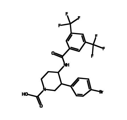 O=C(NC1CCN(C(=O)O)CC1c1ccc(Br)cc1)c1cc(C(F)(F)F)cc(C(F)(F)F)c1